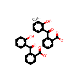 O=C([O-])c1ccccc1C(=O)c1ccccc1O.O=C([O-])c1ccccc1C(=O)c1ccccc1O.[Cu+2]